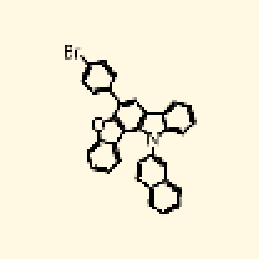 Brc1ccc(-c2cc3c4ccccc4n(-c4ccc5ccccc5c4)c3c3c2oc2ccccc23)cc1